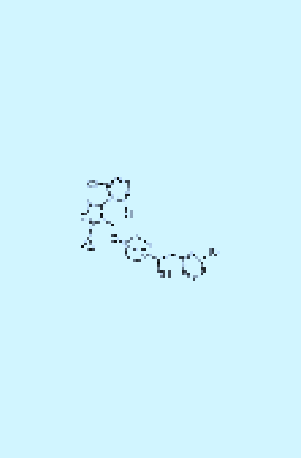 OC(Cc1cccc(Br)c1)C12CCC(OCc3c(-c4c(Cl)cccc4Cl)noc3C3CC3)(CC1)CC2